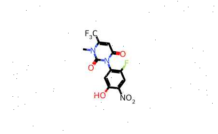 Cn1c(C(F)(F)F)cc(=O)n(-c2cc(O)c([N+](=O)[O-])cc2F)c1=O